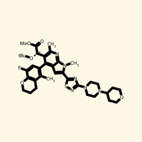 COC(=O)[C@@H](OC(C)(C)C)c1c(C)nc2c(cc(-c3nc(N4CCN(C5CCOCC5)CC4)ns3)n2C)c1-c1cc(F)c2c(c1C)CCCO2